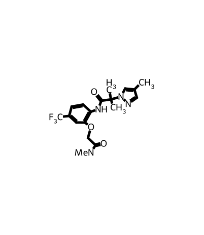 CNC(=O)COc1cc(C(F)(F)F)ccc1NC(=O)C(C)(C)n1cc(C)cn1